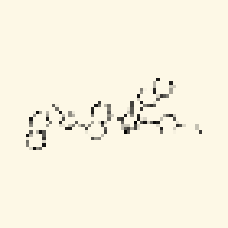 CC1C=CC(C2=NC2(NC(=N)c2cccc3c(-c4cc5c([nH]4)oc4ccc6ccccc6c45)cccc23)c2ccc3c(c2)C=CCC3)=CC1